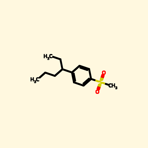 CCCC(CC)c1ccc(S(C)(=O)=O)cc1